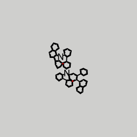 c1ccc(-c2cc(N(c3ccc(-c4ccccc4-n4c5ccccc5c5ccc6ccccc6c54)cc3)c3ccccc3-c3ccccc3)ccc2-c2cccc3ccccc23)cc1